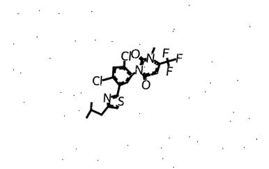 CC(C)Cc1csc(-c2cc(-n3c(=O)cc(C(F)(F)F)n(C)c3=O)c(Cl)cc2Cl)n1